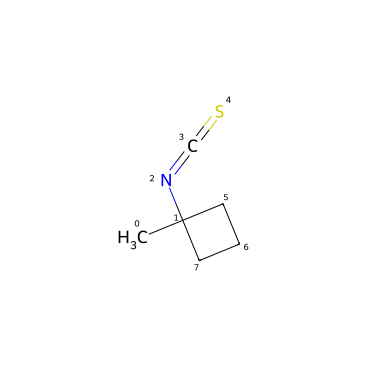 CC1(N=C=S)CCC1